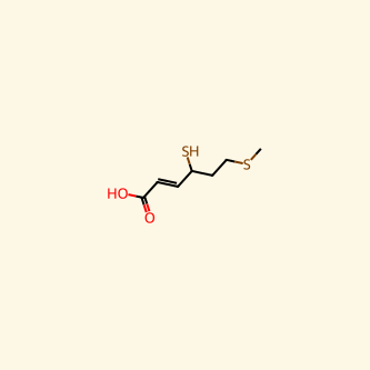 CSCCC(S)/C=C/C(=O)O